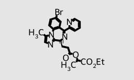 CCOC(=O)C(C)OC(=O)CC[C@@H]1N=C(c2ccccn2)c2cc(Br)ccc2-n2c(C)cnc21